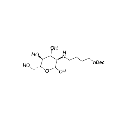 CCCCCCCCCCCCCCN[C@H]1C(O)O[C@H](CO)[C@@H](O)[C@@H]1O